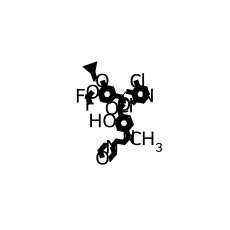 CN(CCN1CCOCC1)c1ccc(C(=O)O[C@@H](Cc2c(Cl)cncc2Cl)c2ccc(OC(F)F)c(OCC3CC3)c2)c(O)c1